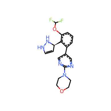 FC(F)Oc1cccc(-c2cnc(N3CCOCC3)nc2)c1[C@H]1C=CNN1